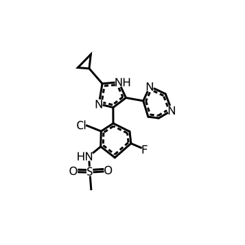 CS(=O)(=O)Nc1cc(F)cc(-c2nc(C3CC3)[nH]c2-c2ccncn2)c1Cl